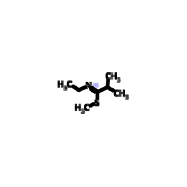 CC/N=C(\SC)C(C)C